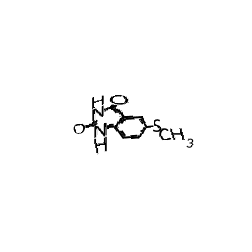 CSc1ccc2[nH]c(=O)[nH]c(=O)c2c1